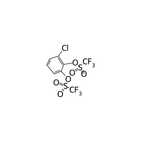 O=S(=O)(Oc1cccc(Cl)c1OS(=O)(=O)C(F)(F)F)C(F)(F)F